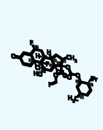 CC(C)[C@@H]1CC[C@@H](C)C[C@H]1OC(=O)O[C@]1(C(=O)OCF)[C@H](C)C[C@H]2[C@@H]3C[C@H](F)C4=CC(=O)C=C[C@]4(C)[C@@]3(F)[C@@H](O)C[C@@]21C